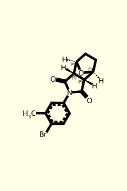 Cc1cc(N2C(=O)[C@@H]3[C@H](C2=O)[C@H]2CC[C@@H]3O2)ccc1Br